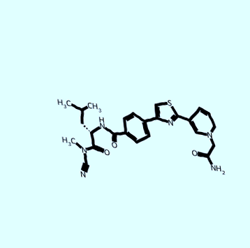 CC(C)C[C@H](NC(=O)c1ccc(-c2csc(C3=CN(CC(N)=O)CC=C3)n2)cc1)C(=O)N(C)C#N